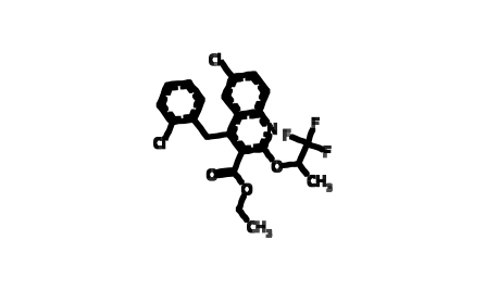 CCOC(=O)c1c(OC(C)C(F)(F)F)nc2ccc(Cl)cc2c1Cc1ccccc1Cl